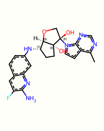 Cc1ncnc2c1ccn2[C@@]1(O)CO[C@@H]2[C@@H](Nc3ccc4cc(F)c(N)nc4c3)CC[C@@]21O